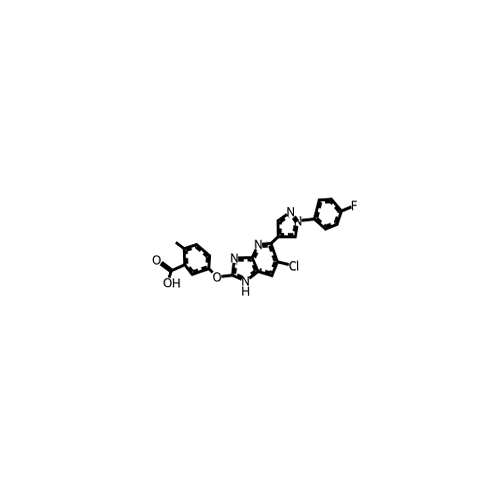 Cc1ccc(Oc2nc3nc(-c4cnn(-c5ccc(F)cc5)c4)c(Cl)cc3[nH]2)cc1C(=O)O